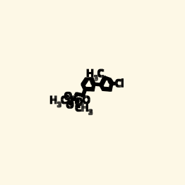 COP(=O)(CC(=O)c1cccc(-c2ccc(Cl)cc2C)c1)OC